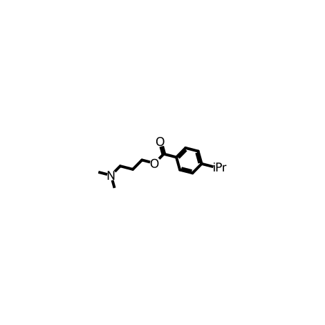 CC(C)c1ccc(C(=O)OCCCN(C)C)cc1